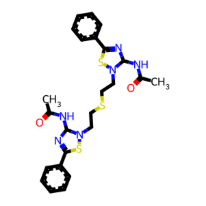 CC(=O)NC1N=C(c2ccccc2)SN1CCSCCN1SC(c2ccccc2)=NC1NC(C)=O